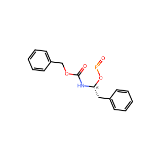 O=PO[C@H](Cc1ccccc1)NC(=O)OCc1ccccc1